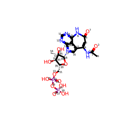 CC(=O)NC1=CC(=O)Nc2ncnc3c2c1cn3[C@@H]1O[C@H](COP(=O)(O)OP(=O)(O)O)[C@@H](O)[C@@]1(C)O